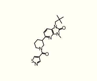 Cn1c(=O)n(CC(C)(C)C)c2ccc(C3CCCN(C(=O)c4cnsc4)C3)nc21